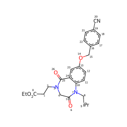 CCOC(=O)CCN1CC(=O)N(CC(C)C)c2ccc(OCc3ccc(C#N)cc3)cc2C1=O